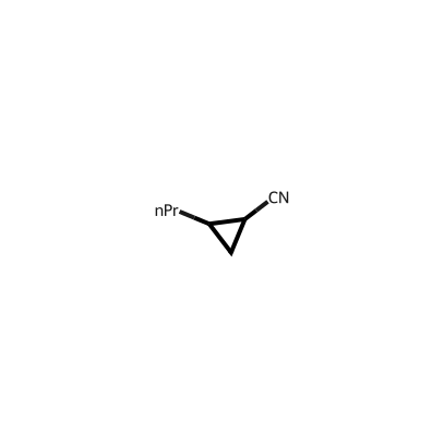 CCCC1CC1C#N